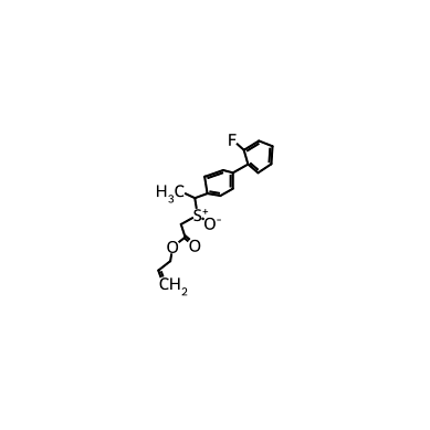 C=CCOC(=O)C[S+]([O-])C(C)c1ccc(-c2ccccc2F)cc1